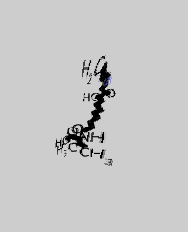 C=CC/C=C\CC(=O)C(O)CCCCCCCC(=O)N[C@H](C(=O)O)[C@@H](C)CC